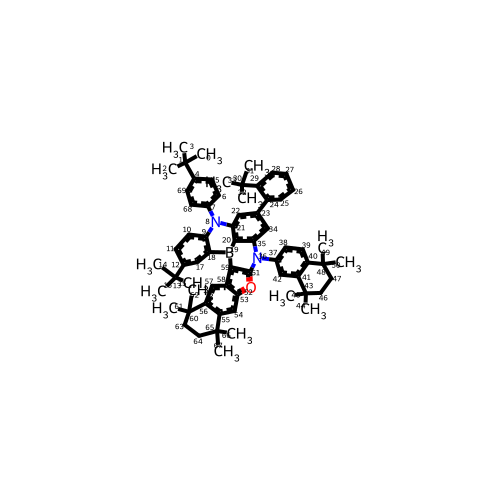 CC(C)(C)c1ccc(N2c3ccc(C(C)(C)C)cc3B3c4c2cc(-c2ccccc2C(C)(C)C)cc4N(c2ccc4c(c2)C(C)(C)CCC4(C)C)c2oc4cc5c(cc4c23)C(C)(C)CCC5(C)C)cc1